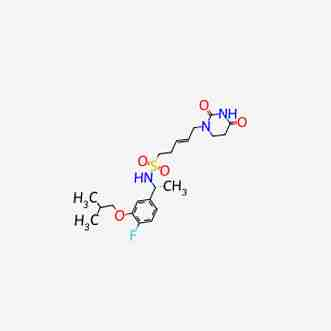 CC(C)COc1cc([C@@H](C)NS(=O)(=O)CC/C=C/CN2CCC(=O)NC2=O)ccc1F